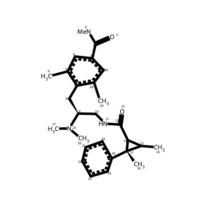 CNC(=O)c1cc(C)c(C[C@@H](CNC(=O)C2C(C)[C@]2(C)c2ccccc2)N(C)C)c(C)c1